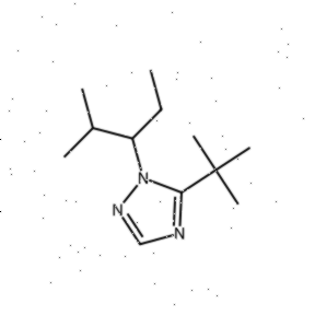 CCC(C(C)C)n1ncnc1C(C)(C)C